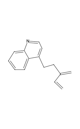 C=CC(=C)CCc1ccnc2ccccc12